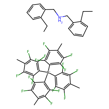 CCc1ccccc1C[NH2+]Cc1ccccc1CC.Cc1c(F)c(F)c([B-](c2c(F)c(F)c(C)c(F)c2F)(c2c(F)c(F)c(C)c(F)c2F)c2c(F)c(F)c(C)c(F)c2F)c(F)c1F